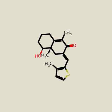 CC1=C2CCC[C@H](O)[C@@]2(C)C/C(=C\c2sccc2C)C1=O